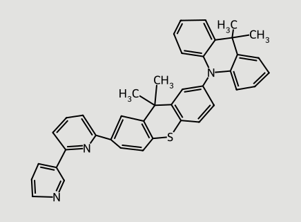 CC1(C)c2cc(-c3cccc(-c4cccnc4)n3)ccc2Sc2ccc(N3c4ccccc4C(C)(C)c4ccccc43)cc21